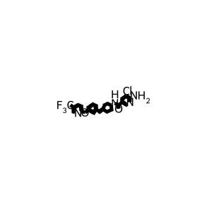 Nc1ncc(C(=O)NC2CCC(=Cc3cccc(Oc4ccc(C(F)(F)F)cn4)c3)CC2)cc1Cl